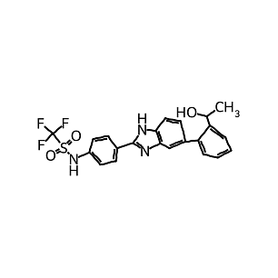 CC(O)c1ccccc1-c1ccc2[nH]c(-c3ccc(NS(=O)(=O)C(F)(F)F)cc3)nc2c1